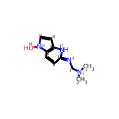 CN(C)CN=c1ccc2c(ccn2O)[nH]1